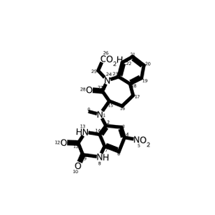 CN(c1cc([N+](=O)[O-])cc2[nH]c(=O)c(=O)[nH]c12)C1CCc2ccccc2N(CC(=O)O)C1=O